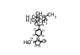 CCCCC[C@H](O[Si](C)(C)C(C)(C)C)c1ccc(N2C(=O)CC[C@@H]2CO)cc1